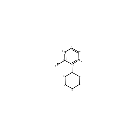 Fc1nccnc1C1CCCCC1